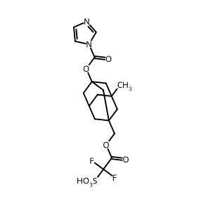 CC12CC3CC(COC(=O)C(F)(F)S(=O)(=O)O)(C1)CC(OC(=O)n1ccnc1)(C3)C2